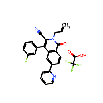 C=CCn1c(C#N)c(-c2cccc(F)c2)c2cc(-c3ccccn3)ccc2c1=O.O=C(O)C(F)(F)F